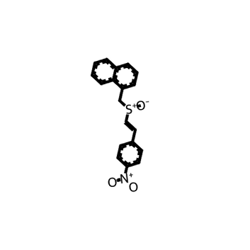 O=[N+]([O-])c1ccc(C=C[S+]([O-])Cc2cccc3ccccc23)cc1